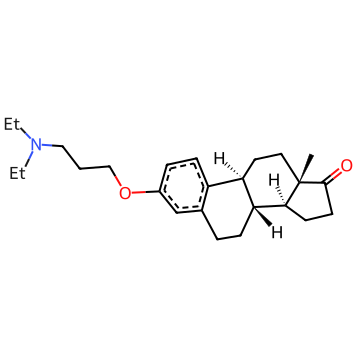 CCN(CC)CCCOc1ccc2c(c1)CC[C@@H]1[C@@H]2CC[C@]2(C)C(=O)CC[C@@H]12